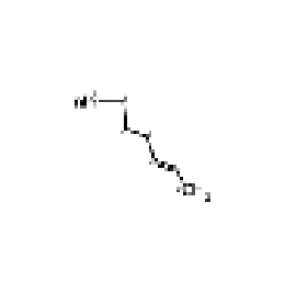 CC=CCCCCCC